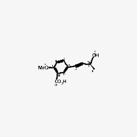 COc1ccc(C#C[C@H](C)O)cc1C(=O)O